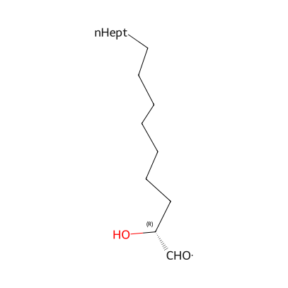 CCCCCCCCCCCCCC[C@@H](O)[C]=O